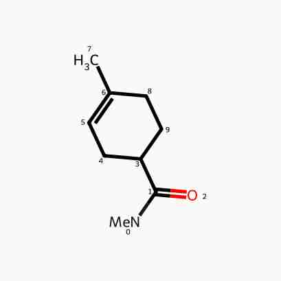 CNC(=O)C1CC=C(C)CC1